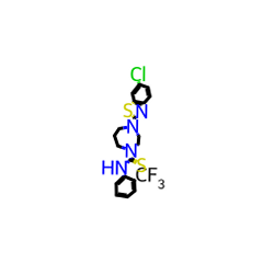 FC(F)(F)c1ccccc1NC(=S)N1CCCN(c2nc3ccc(Cl)cc3s2)CC1